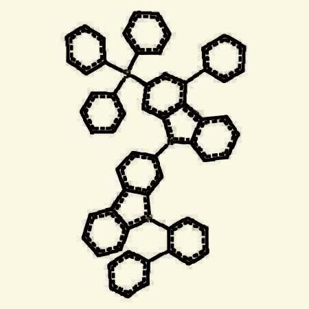 c1ccc(-c2ccccc2-n2c3ccccc3c3ccc(-n4c5ccccc5c5c(-c6ccccc6)cc([Si](c6ccccc6)(c6ccccc6)c6ccccc6)cc54)cc32)cc1